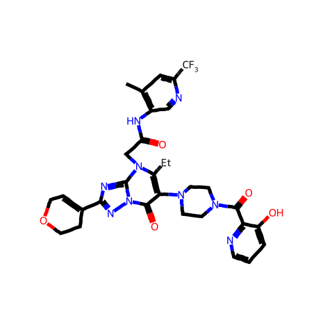 CCc1c(N2CCN(C(=O)c3ncccc3O)CC2)c(=O)n2nc(C3=CCOCC3)nc2n1CC(=O)Nc1cnc(C(F)(F)F)cc1C